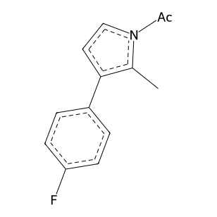 CC(=O)n1ccc(-c2ccc(F)cc2)c1C